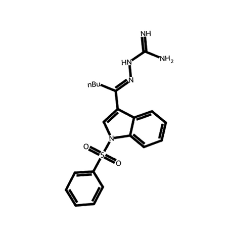 CCCCC(=NNC(=N)N)c1cn(S(=O)(=O)c2ccccc2)c2ccccc12